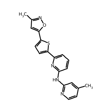 Cc1ccnc(Nc2cccc(-c3ccc(-c4cc(C)no4)s3)n2)c1